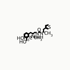 C[C@@H](Cc1ccsc1)NC(=O)NCC(Cc1ccc(O)c(CO)c1)N(C)C